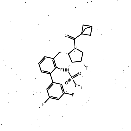 CS(=O)(=O)N[C@H]1[C@@H](F)CN(C(=O)C23CC(C2)C3)[C@H]1Cc1cccc(-c2cc(F)cc(F)c2)c1F